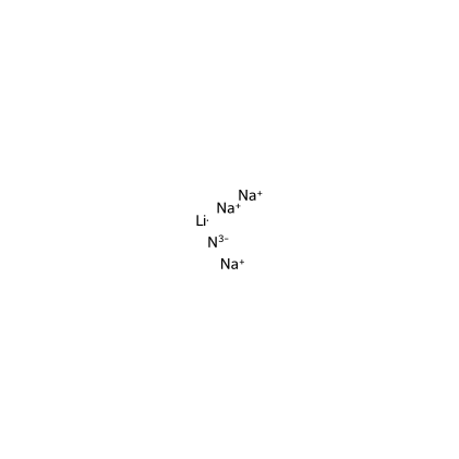 [Li].[N-3].[Na+].[Na+].[Na+]